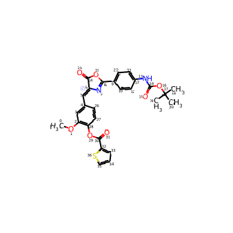 COc1cc(/C=C2\N=C(c3ccc(NC(=O)OC(C)(C)C)cc3)OC2=O)ccc1OC(=O)c1cccs1